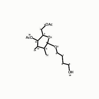 CC(=O)OCC1OC(OCCCCO)C(C)C(C)C1OC(C)=O